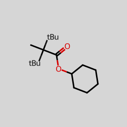 CC(C)(C)C(C)(C(=O)OC1CCCCC1)C(C)(C)C